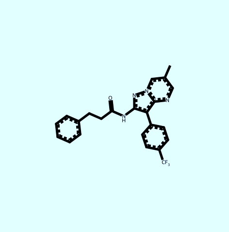 Cc1cnc2c(-c3ccc(C(F)(F)F)cc3)c(NC(=O)CCc3ccccc3)nn2c1